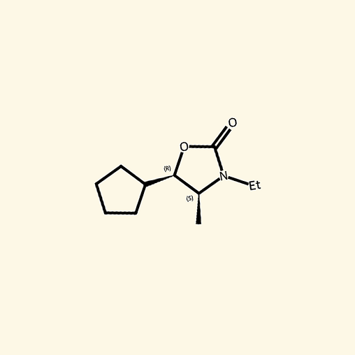 CCN1C(=O)O[C@H](C2CCCC2)[C@@H]1C